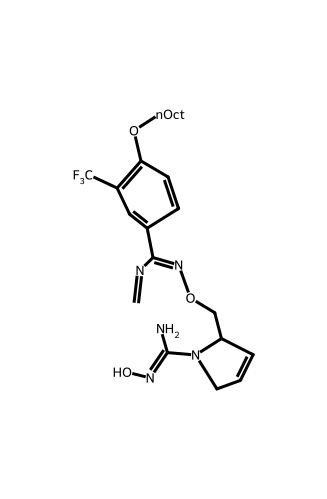 C=N/C(=N\OCC1C=CCN1/C(N)=N/O)c1ccc(OCCCCCCCC)c(C(F)(F)F)c1